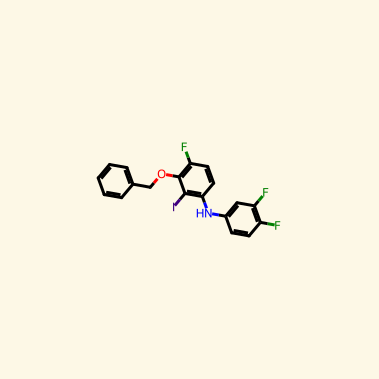 Fc1ccc(Nc2ccc(F)c(OCc3ccccc3)c2I)cc1F